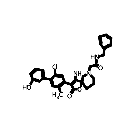 Cc1cc(-c2cccc(O)c2)c(Cl)cc1C1=C(N)C2(CCCN(CC(=O)NCc3ccccc3)C2)OC1=O